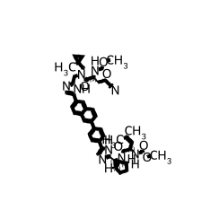 COC(=O)N[C@@H](C=C(C)C)C(=O)N1[C@@H]2CC[C@@H](C2)[C@H]1c1ncc(-c2ccc(-c3ccc4cc(-c5cnc(CN(CC6(C)CC6)C(=O)[C@H](CCC#N)NC(=O)OC)[nH]5)ccc4c3)cc2)[nH]1